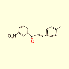 Cc1ccc(C=CC(=O)c2cccc([N+](=O)[O-])c2)cc1